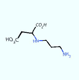 NCCCNC(CC(=O)O)C(=O)O